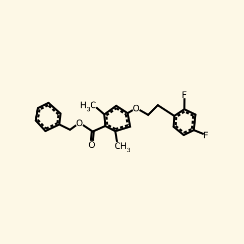 Cc1cc(OCCc2ccc(F)cc2F)cc(C)c1C(=O)OCc1ccccc1